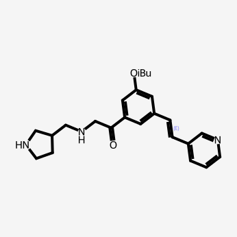 CC(C)COc1cc(/C=C/c2cccnc2)cc(C(=O)CNCC2CCNC2)c1